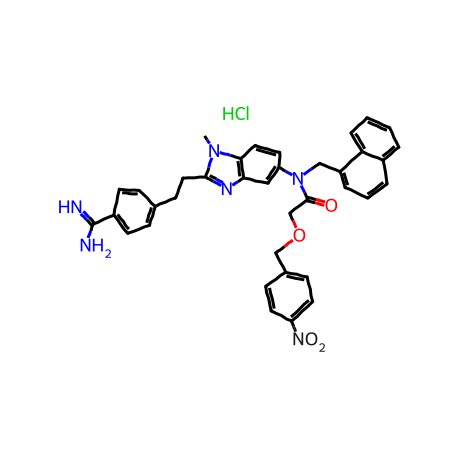 Cl.Cn1c(CCc2ccc(C(=N)N)cc2)nc2cc(N(Cc3cccc4ccccc34)C(=O)COCc3ccc([N+](=O)[O-])cc3)ccc21